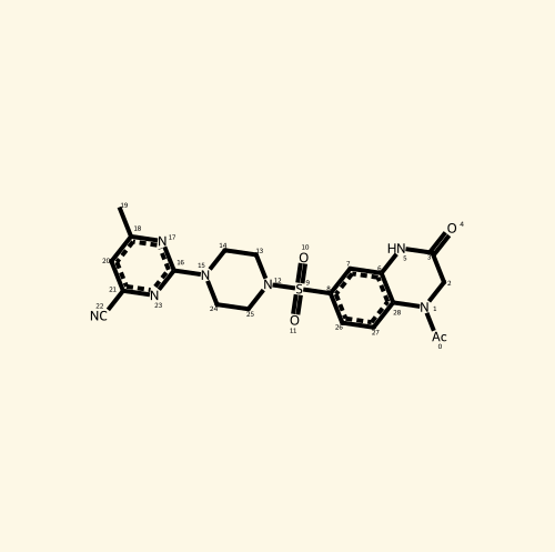 CC(=O)N1CC(=O)Nc2cc(S(=O)(=O)N3CCN(c4nc(C)cc(C#N)n4)CC3)ccc21